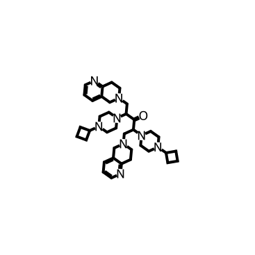 O=C(C(CN1CCc2ncccc2C1)N1CCN(C2CCC2)CC1)C(CN1CCc2ncccc2C1)N1CCN(C2CCC2)CC1